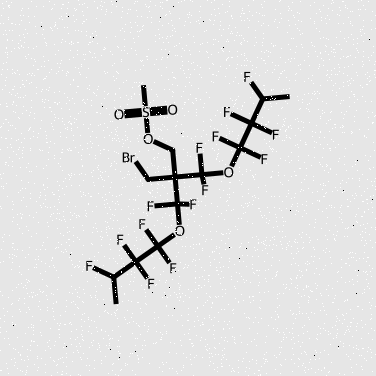 CC(F)C(F)(F)C(F)(F)OC(F)(F)C(CBr)(COS(C)(=O)=O)C(F)(F)OC(F)(F)C(F)(F)C(C)F